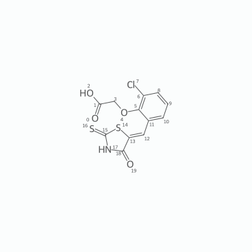 O=C(O)COc1c(Cl)cccc1C=C1SC(=S)NC1=O